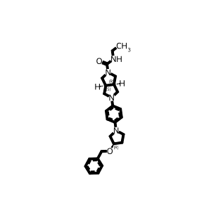 CCNC(=O)N1C[C@@H]2CN(c3ccc(N4CC[C@@H](OCc5ccccc5)C4)cc3)C[C@@H]2C1